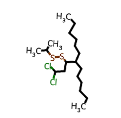 CCCCCCC(CCCCCC)C(CC(Cl)Cl)SSC(C)C